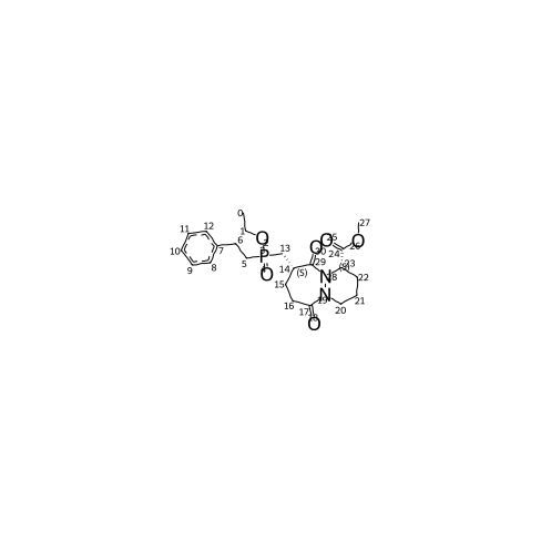 CCOP(=O)(CCc1ccccc1)C[C@H]1CCC(=O)N2CCC[C@@H](C(=O)OC)N2C1=O